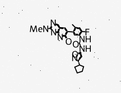 CNc1ncc2cc(-c3cc(NC(=O)Nc4cc(C5CCCC5)no4)c(F)cc3C)c(=O)n(C)c2n1